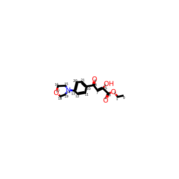 CCOC(=O)C(O)=CC(=O)c1ccc(N2CCOCC2)cc1